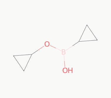 OB(OC1CC1)C1CC1